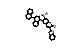 CCN(CC)c1cc2oc(=O)c(-c3nc4ccccc4s3)cc2cc1-c1ccc(-c2cccc3ccccc23)c2ccccc12